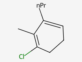 CCCC1=CCCC(Cl)=C1C